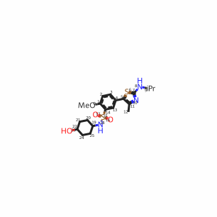 COc1ccc(-c2sc(NC(C)C)nc2C)cc1S(=O)(=O)NC1CCC(O)CC1